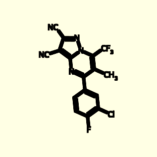 Cc1c(-c2ccc(F)c(Cl)c2)nc2c(C#N)c(C#N)nn2c1C(F)(F)F